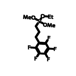 CCO[Si](CCCc1c(F)c(F)c(F)c(F)c1F)(OC)OC